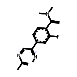 C=C(C)/N=C\C(=N/C)c1ccc(C(=C)N(C)C)c(F)c1